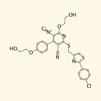 [C-]#[N+]c1c(OCCO)nc(SCc2csc(-c3ccc(Cl)cc3)n2)c(C#N)c1-c1ccc(OCCO)cc1